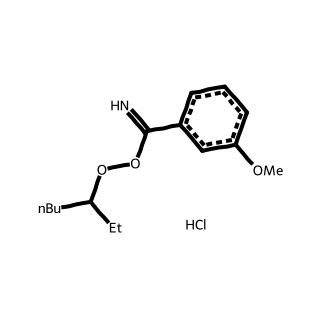 CCCCC(CC)OOC(=N)c1cccc(OC)c1.Cl